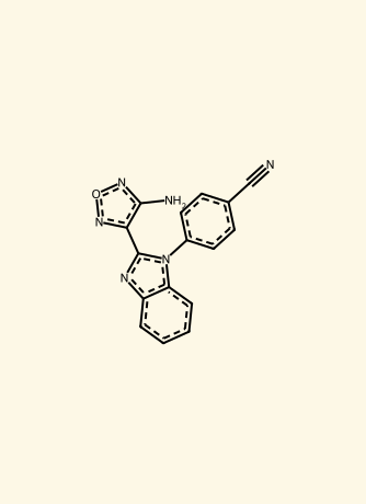 N#Cc1ccc(-n2c(-c3nonc3N)nc3ccccc32)cc1